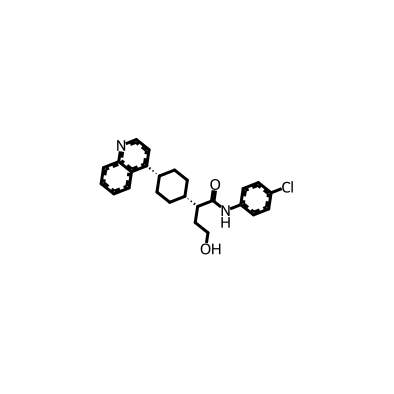 O=C(Nc1ccc(Cl)cc1)C(CCO)[C@H]1CC[C@@H](c2ccnc3ccccc32)CC1